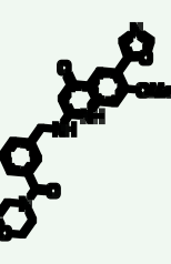 COc1cc2[nH]c(NCc3cccc(C(=O)N4CCOCC4)c3)cc(=O)c2cc1-c1cnco1